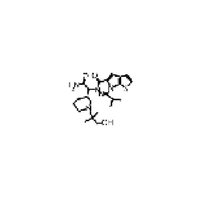 CC(C)c1nn(C(C(N)=O)[C@@H]2CCCN(C(C)(C)CO)C2)c(=O)c2cc3ccsc3n12